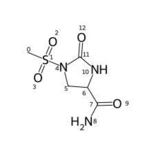 CS(=O)(=O)N1CC(C(N)=O)NC1=O